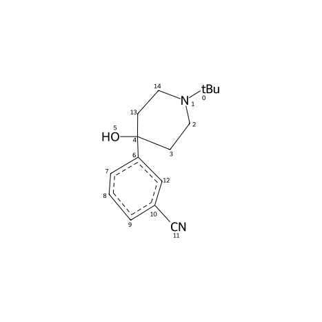 CC(C)(C)N1CCC(O)(c2cccc(C#N)c2)CC1